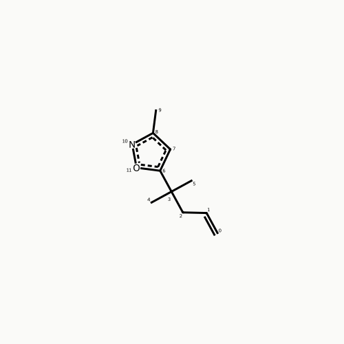 C=CCC(C)(C)c1cc(C)no1